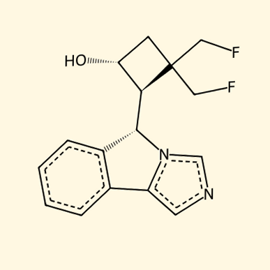 O[C@@H]1CC(CF)(CF)[C@H]1[C@H]1c2ccccc2-c2cncn21